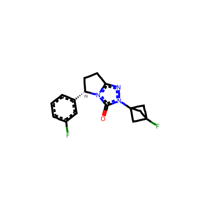 O=c1n(C23CC(F)(C2)C3)nc2n1[C@H](c1cccc(F)c1)CC2